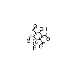 O=CC1C(O)C(C=O)C(C=O)C(O)C1C=O